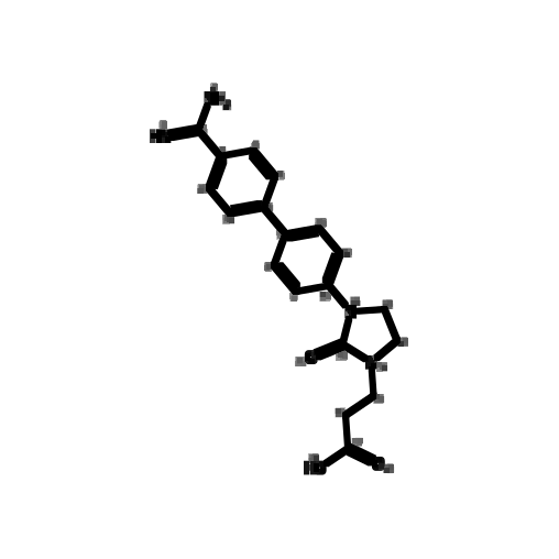 N=C(N)c1ccc(-c2ccc(N3CCN(CCC(=O)O)C3=O)cc2)cc1